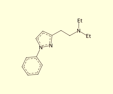 CCN(CC)CCc1ccn(-c2ccccc2)n1